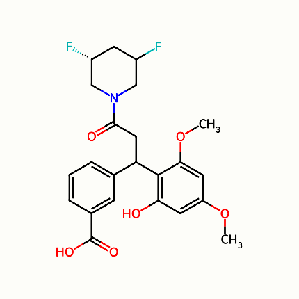 COc1cc(O)c(C(CC(=O)N2CC(F)C[C@@H](F)C2)c2cccc(C(=O)O)c2)c(OC)c1